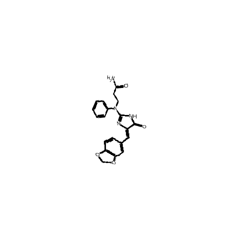 NC(=O)CCN(C1=N/C(=C\c2ccc3c(c2)OCO3)C(=O)N1)c1ccccc1